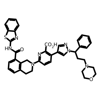 O=C(Nc1nc2ccccc2s1)c1cccc2c1CN(c1ccc(-c3cnn(C(CCN4CCOCC4)c4ccccc4)c3)c(C(=O)O)n1)CC2